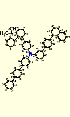 CC1(C)c2ccccc2-c2c(-c3ccc(N(c4ccc(-c5ccc(-c6ccccc6)cc5)cc4)c4cccc(-c5ccc(-c6cccc7ccccc67)cc5)c4)cc3)cccc21